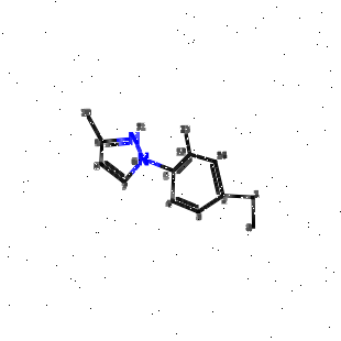 CCc1ccc(-n2ccc(C)n2)c(C)c1